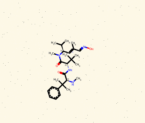 CN[C@H](C(=O)N[C@H](C(=O)N(C)[C@H](/C=C(\C)C=NO)C(C)C)C(C)(C)C)C(C)(C)c1ccccc1